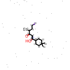 CCC(CCI)C(=O)/C=C(\O)C1CCC(C)(C)CC1